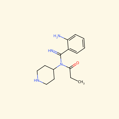 CCC(=O)N(C(=N)c1ccccc1N)C1CCNCC1